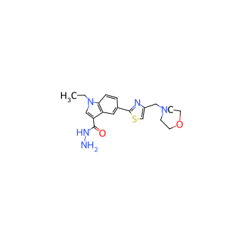 CCn1cc(C(=O)NN)c2cc(-c3nc(CN4CCOCC4)cs3)ccc21